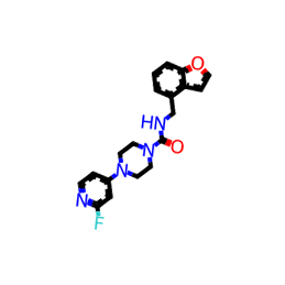 O=C(NCc1cccc2occc12)N1CCN(c2ccnc(F)c2)CC1